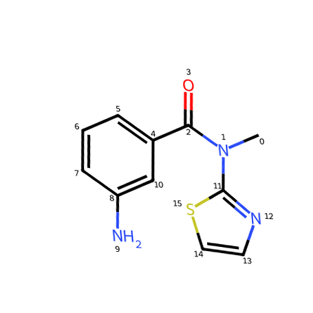 CN(C(=O)c1cccc(N)c1)c1nccs1